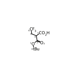 CC(C)(C)OC(=O)C(CC(F)(F)F)C(=O)O